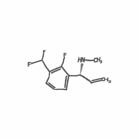 C=C[C@@H](NC)c1cccc(C(F)F)c1F